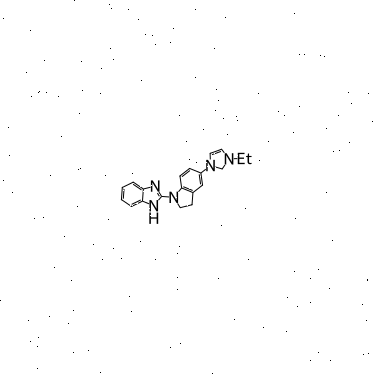 CCN1C=CN(c2ccc3c(c2)CCN3c2nc3ccccc3[nH]2)C1